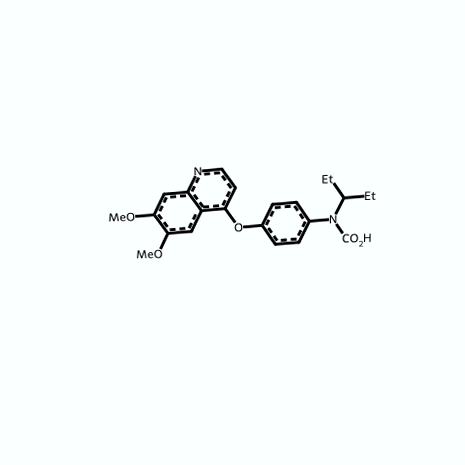 CCC(CC)N(C(=O)O)c1ccc(Oc2ccnc3cc(OC)c(OC)cc23)cc1